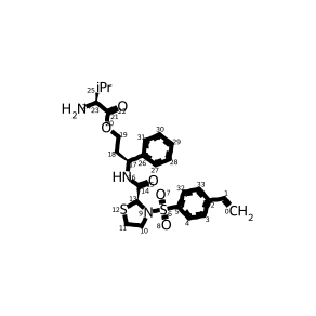 C=Cc1ccc(S(=O)(=O)N2CCS[C@H]2C(=O)N[C@@H](CCOC(=O)[C@@H](N)C(C)C)c2ccccc2)cc1